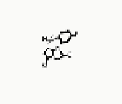 Cc1ccc(F)cc1N1C(=O)CN2C(=O)CCC21